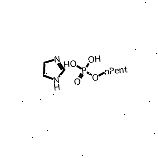 C1=NCCN1.CCCCCOP(=O)(O)O